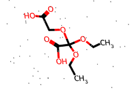 CCOC(OCC)(OCC(=O)O)C(=O)O